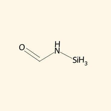 O=CN[SiH3]